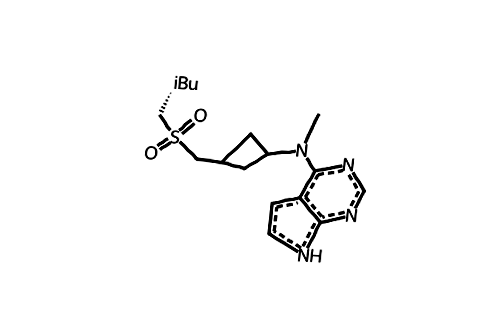 CC[C@@H](C)CS(=O)(=O)CC1CC(N(C)c2ncnc3[nH]ccc23)C1